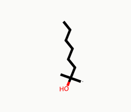 [CH2]C(C)(O)CCCCCC